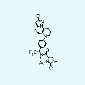 CC(=O)N1C(=O)N(C)CC1C(=O)N(C)[C@@H](c1ccc(N2CCCc3c2cnc2cc(Cl)nn32)cc1)C(F)(F)F